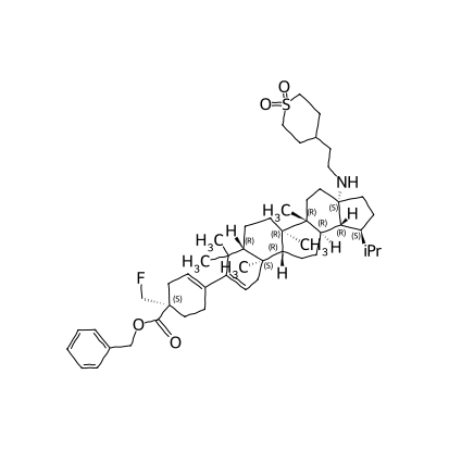 CC(C)[C@@H]1CC[C@]2(NCCC3CCS(=O)(=O)CC3)CC[C@]3(C)[C@H](CC[C@@H]4[C@@]5(C)CC=C(C6=CC[C@](CF)(C(=O)OCc7ccccc7)CC6)C(C)(C)[C@@H]5CC[C@]43C)[C@@H]12